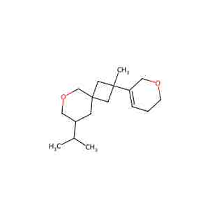 CC(C)C1COCC2(C1)CC(C)(C1=CCCOC1)C2